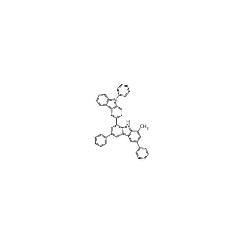 Cc1cc(-c2ccccc2)cc2c1[nH]c1c(-c3ccc4c(c3)c3ccccc3n4-c3ccccc3)cc(-c3ccccc3)cc12